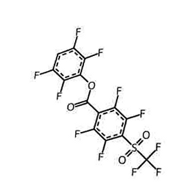 O=C(Oc1c(F)c(F)cc(F)c1F)c1c(F)c(F)c(S(=O)(=O)C(F)(F)F)c(F)c1F